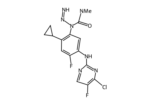 CNC(=O)N(N=N)c1cc(Nc2ncc(F)c(Cl)n2)c(F)cc1C1CC1